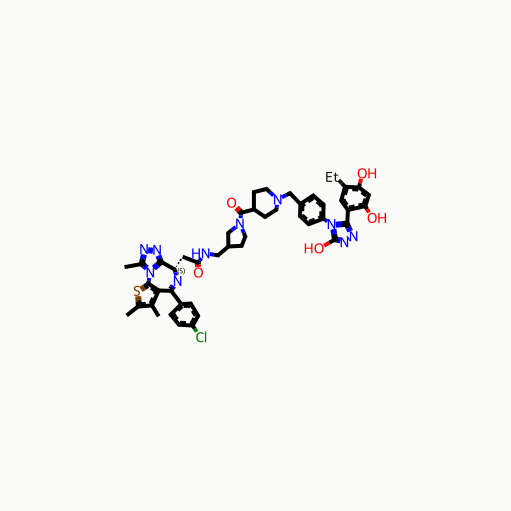 CCc1cc(-c2nnc(O)n2-c2ccc(CN3CCC(C(=O)N4CCC(CNC(=O)C[C@@H]5N=C(c6ccc(Cl)cc6)c6c(sc(C)c6C)-n6c(C)nnc65)C4)CC3)cc2)c(O)cc1O